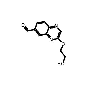 O=Cc1ccc2ncc(OCCO)nc2c1